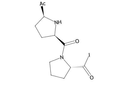 CC(=O)[C@@H]1CC[C@H](C(=O)N2CCC[C@H]2C(=O)I)N1